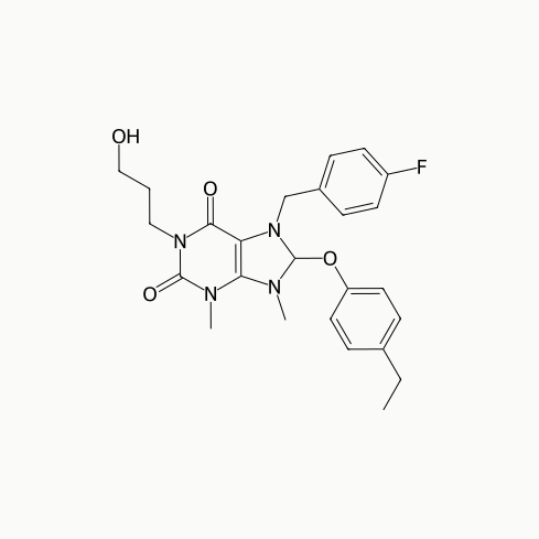 CCc1ccc(OC2N(C)c3c(c(=O)n(CCCO)c(=O)n3C)N2Cc2ccc(F)cc2)cc1